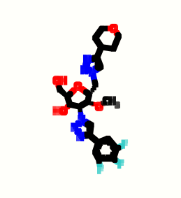 CO[C@@H]1[C@@H](n2cc(-c3cc(F)c(F)c(F)c3)nn2)[C@@H](O)[C@@H](CO)O[C@@H]1Cn1cc(C2CCOCC2)nn1